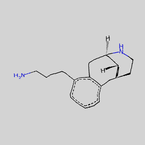 NCCCc1cccc2c1C[C@H]1NCC[C@@]23CCCC[C@@H]13